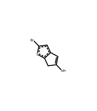 CCCC1=Cc2cc(Br)sc2C1